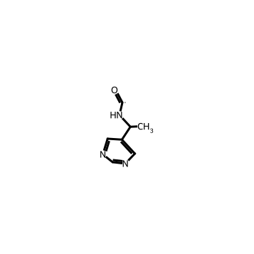 CC(N[C]=O)c1cncnc1